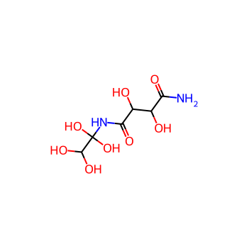 NC(=O)C(O)C(O)C(=O)NC(O)(O)C(O)O